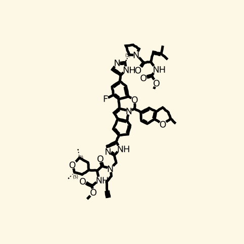 C#CCCN(Cc1ncc(-c2ccc3c(c2)cc2n3C(c3ccc4c(c3)CCC(C)O4)Oc3cc(-c4cnc([C@@H]5CCCN5C(=O)C(C=C(C)C)NC(=O)OC)[nH]4)cc(F)c3-2)[nH]1)C(=O)C(NC(=O)OC)C1C[C@@H](C)O[C@@H](C)C1